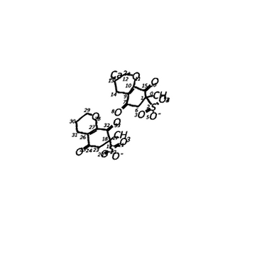 CC1(S(=O)(=O)[O-])CC(=O)C2=C(OCCC2)C1=O.CC1(S(=O)(=O)[O-])CC(=O)C2=C(OCCC2)C1=O.[Ca+2]